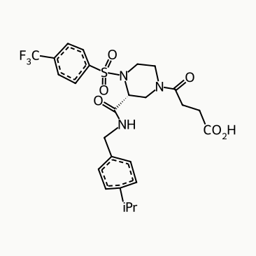 CC(C)c1ccc(CNC(=O)[C@H]2CN(C(=O)CCC(=O)O)CCN2S(=O)(=O)c2ccc(C(F)(F)F)cc2)cc1